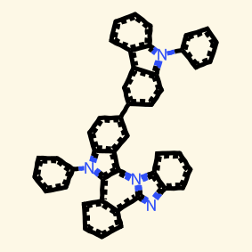 c1ccc(-n2c3ccccc3c3cc(-c4ccc5c(c4)c4c(c6ccccc6c6nc7ccccc7n64)n5-c4ccccc4)ccc32)cc1